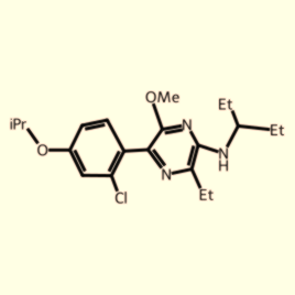 CCc1nc(-c2ccc(OC(C)C)cc2Cl)c(OC)nc1NC(CC)CC